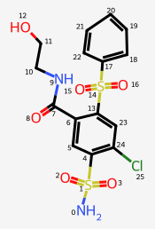 NS(=O)(=O)c1cc(C(=O)NCCO)c(S(=O)(=O)c2ccccc2)cc1Cl